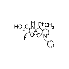 CCC(C(=O)NC(C(=O)O)C(=O)CF)c1c(C)ccn(Cc2ccccc2)c1=O